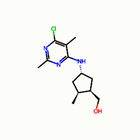 Cc1nc(Cl)c(C)c(N[C@@H]2C[C@@H](CO)[C@@H](C)C2)n1